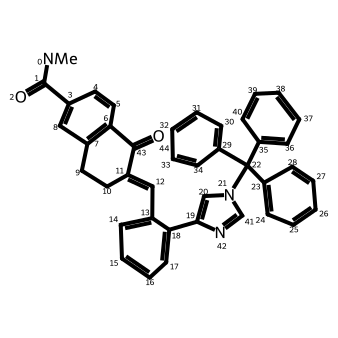 CNC(=O)c1ccc2c(c1)CCC(=Cc1ccccc1-c1cn(C(c3ccccc3)(c3ccccc3)c3ccccc3)cn1)C2=O